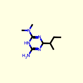 CCC(C)C1N=C(N)NC(N(C)C)=N1